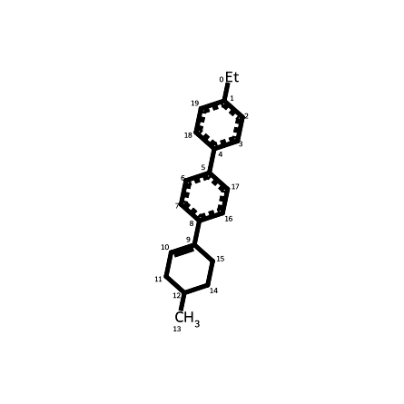 CCc1ccc(-c2ccc(C3=CCC(C)CC3)cc2)cc1